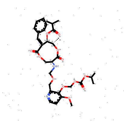 COc1ccnc(COCN[C@H]2COC(=O)/C(=C/c3ccccc3)[C@@H](OC(=O)C(C)C)[C@H](C)OC2=O)c1OCOC(=O)OC(C)C